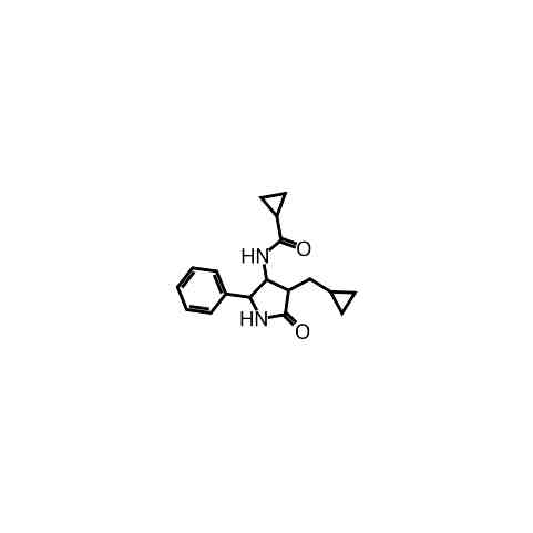 O=C(NC1C(CC2CC2)C(=O)NC1c1ccccc1)C1CC1